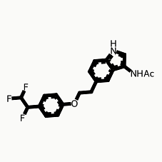 CC(=O)Nc1c[nH]c2ccc(CCOc3ccc(C(F)C(F)F)cc3)cc12